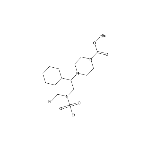 CCS(=O)(=O)N(CC(C)C)CC(C1CCCCC1)N1CCN(C(=O)OC(C)(C)C)CC1